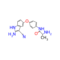 CC(N)C(=O)Nc1ccc(Oc2ccc3[nH]c(N)c(C#N)c3c2)cc1